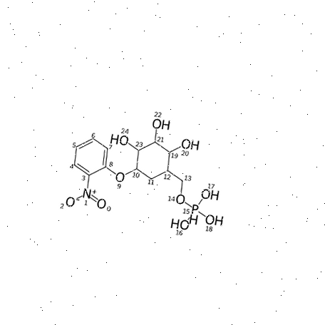 O=[N+]([O-])c1ccccc1OC1CC(CO[PH](O)(O)O)C(O)C(O)C1O